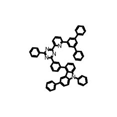 c1ccc(-c2cc(-c3ccccc3)cc(-c3cccc(-c4nc(-c5ccccc5)nc(-c5cccc(-c6cccc7c6c6cc(-c8ccccc8)ccc6n7-c6ccccc6)c5)n4)n3)c2)cc1